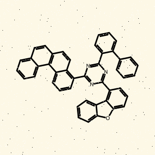 c1ccc(-c2ccccc2-c2nc(-c3cccc4c3ccc3ccc5ccccc5c34)nc(-c3cccc4oc5ccccc5c34)n2)cc1